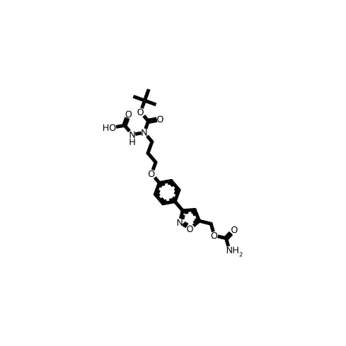 CC(C)(C)OC(=O)N(CCCOc1ccc(-c2cc(COC(N)=O)on2)cc1)NC(=O)O